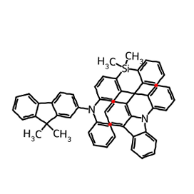 CC1(C)c2ccccc2-c2ccc(N(c3ccccc3)c3ccc4c(c3)C3(c5ccccc5-n5c6ccccc6c6cccc3c65)c3ccccc3[Si]4(C)C)cc21